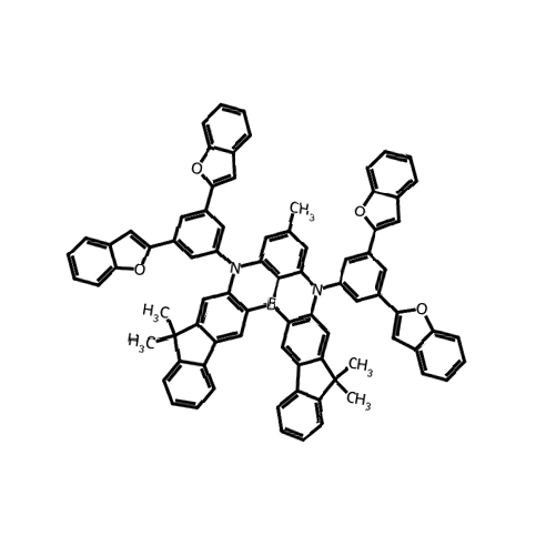 Cc1cc2c3c(c1)N(c1cc(-c4cc5ccccc5o4)cc(-c4cc5ccccc5o4)c1)c1cc4c(cc1B3c1cc3c(cc1N2c1cc(-c2cc5ccccc5o2)cc(-c2cc5ccccc5o2)c1)C(C)(C)c1ccccc1-3)-c1ccccc1C4(C)C